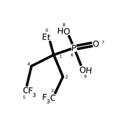 CCC(CC(F)(F)F)(CC(F)(F)F)P(=O)(O)O